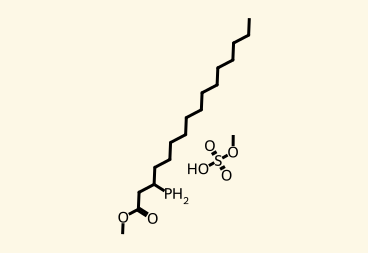 CCCCCCCCCCCCCC(P)CC(=O)OC.COS(=O)(=O)O